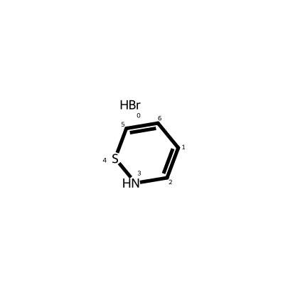 Br.C1=CNSC=C1